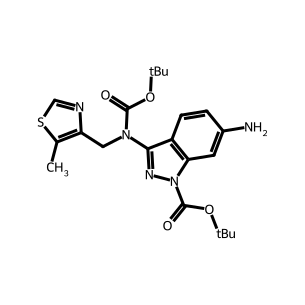 Cc1scnc1CN(C(=O)OC(C)(C)C)c1nn(C(=O)OC(C)(C)C)c2cc(N)ccc12